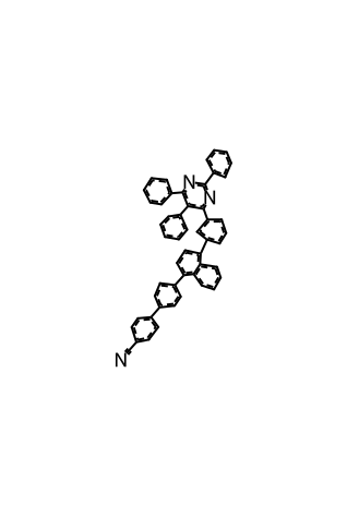 N#Cc1ccc(-c2ccc(-c3ccc(-c4cccc(-c5nc(-c6ccccc6)nc(-c6ccccc6)c5-c5ccccc5)c4)c4ccccc34)cc2)cc1